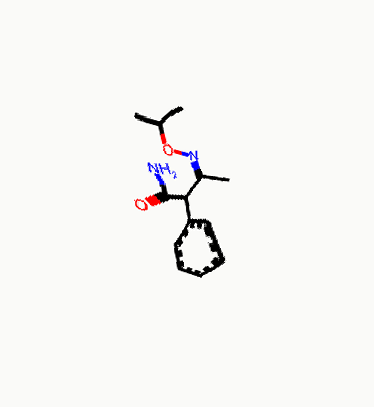 C/C(=N/OC(C)C)C(C(N)=O)c1ccccc1